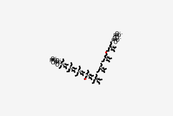 CCC[N+](CCC)(CCC)CCC.CCC[N+](CCC)(CCC)CCC.CCC[N+](CCC)(CCC)CCC.CCC[N+](CCC)(CCC)CCC.CCC[N+](CCC)(CCC)CCC.CCC[N+](CCC)(CCC)CCC.CCC[N+](CCC)(CCC)CCC.CCC[N+](CCC)(CCC)CCC.O=P([O-])([O-])F.O=P([O-])([O-])F.O=P([O-])([O-])F.O=P([O-])([O-])F